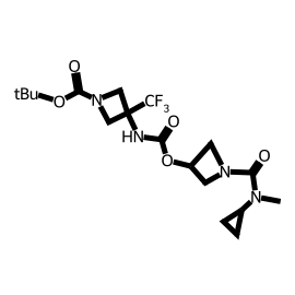 CN(C(=O)N1CC(OC(=O)NC2(C(F)(F)F)CN(C(=O)OC(C)(C)C)C2)C1)C1CC1